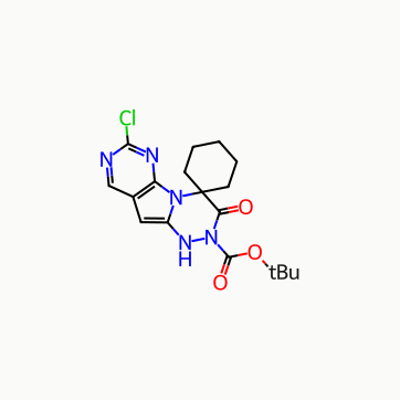 CC(C)(C)OC(=O)N1Nc2cc3cnc(Cl)nc3n2C2(CCCCC2)C1=O